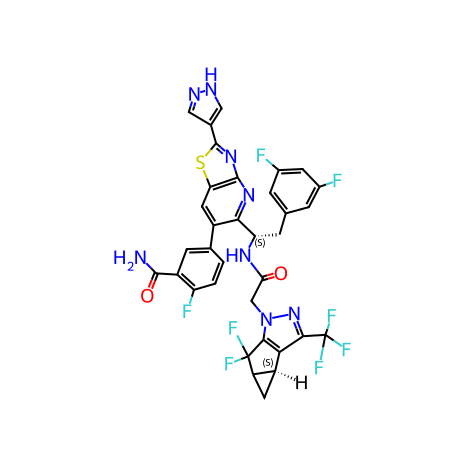 NC(=O)c1cc(-c2cc3sc(-c4cn[nH]c4)nc3nc2[C@H](Cc2cc(F)cc(F)c2)NC(=O)Cn2nc(C(F)(F)F)c3c2C(F)(F)C2C[C@H]32)ccc1F